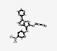 CCN(CC)c1ccc(/N=C2/C(OC=C=C=O)=Nn3c2nnc3-c2cnccn2)nc1